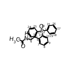 CC(=O)NCCc1ccccc1P(=O)(c1ccccc1)c1ccccc1